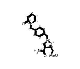 COCc1nn(Cc2ccc(Cn3ccccc3=O)cc2)cc1C(N)=O